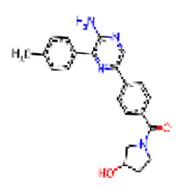 Cc1ccc(-c2nc(-c3ccc(C(=O)N4CCC(O)C4)cc3)cnc2N)cc1